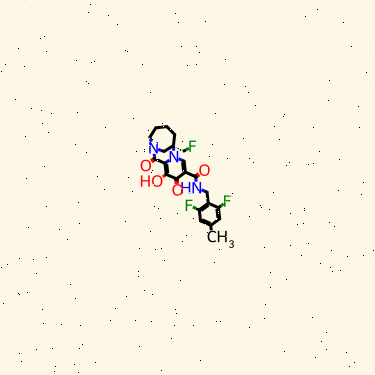 Cc1cc(F)c(CNC(=O)c2cn3c(c(O)c2=O)C(=O)N2CCCC[C@]3(CF)C2)c(F)c1